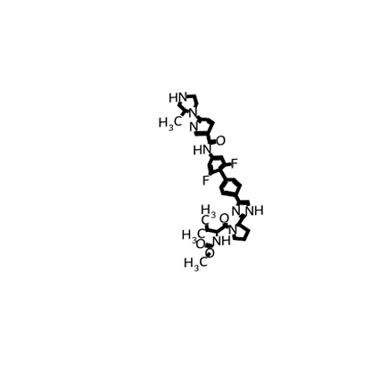 COC(=O)N[C@H](C(=O)N1CCCC1c1nc(-c2ccc(-c3c(F)cc(NC(=O)c4ccc(N5CCNCC5C)nc4)cc3F)cc2)c[nH]1)C(C)C